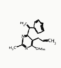 C=CCc1c(OC)nc(C)nc1C(=C)c1ccccc1